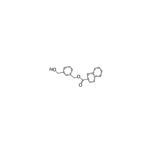 O=C(OCc1cccc(CO)c1)c1ccc2ccccc2c1